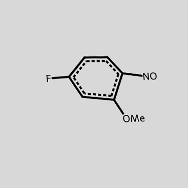 COc1cc(F)ccc1N=O